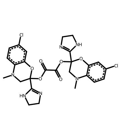 CN1CC(OC(=O)C(=O)OC2(C3=NCCN3)CN(C)c3ccc(Cl)cc3O2)(C2=NCCN2)Oc2cc(Cl)ccc21